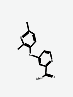 CNC(=O)c1cc(Oc2ccc(C)nc2C)ccn1